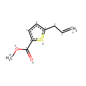 C=CCc1ccc(C(=O)OC)s1